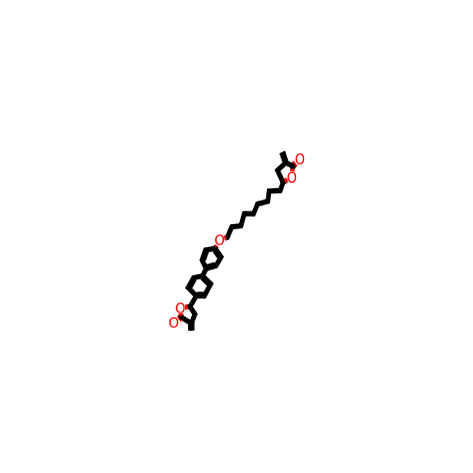 C=C1CC(CCCCCCCCCOc2ccc(-c3ccc(C4CC(=C)C(=O)O4)cc3)cc2)OC1=O